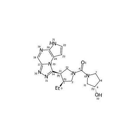 CC[C@@H]1CN(C(=O)N2CC[C@H](O)C2)C[C@@H]1c1nnc2cnc3[nH]ccc3n12